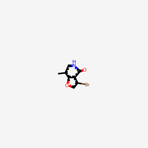 Cc1c[nH]c(=O)c2c(Br)coc12